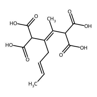 CC=CCC(=C(C)C(C(=O)O)C(=O)O)C(C(=O)O)C(=O)O